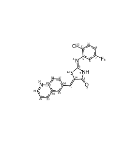 O=C1N/C(=N\c2cc(F)ccc2Cl)S/C1=C\c1ccc2ncccc2c1